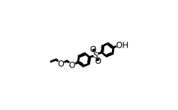 CCOCOc1ccc(S(=O)(=O)c2ccc(O)cc2)cc1